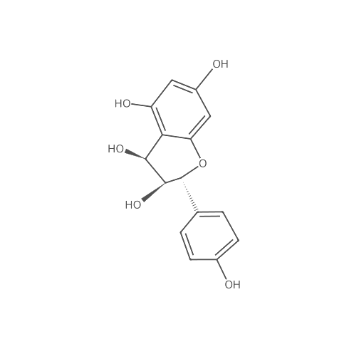 Oc1ccc([C@H]2Oc3cc(O)cc(O)c3[C@H](O)[C@@H]2O)cc1